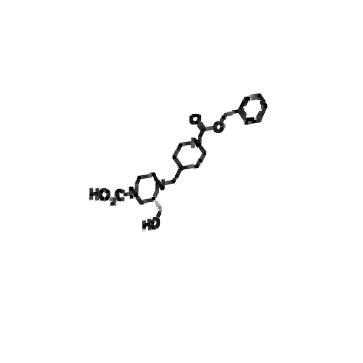 O=C(O)N1CCN(CC2CCN(C(=O)OCc3ccccc3)CC2)[C@H](CO)C1